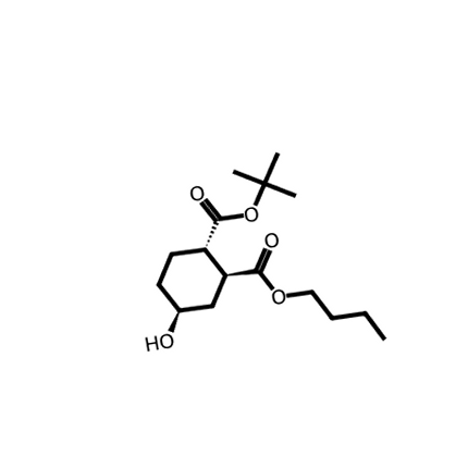 CCCCOC(=O)[C@H]1C[C@@H](O)CC[C@@H]1C(=O)OC(C)(C)C